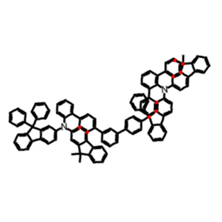 CC1(C)c2ccccc2-c2ccc(N(c3ccc4c(c3)C(c3ccccc3)(c3ccccc3)c3ccccc3-4)c3ccccc3-c3ccc(-c4cccc(-c5ccc(C6(c7ccccc7)c7ccccc7-c7ccc(N(c8ccc9c(c8)C(C)(C)c8ccccc8-9)c8c(-c9ccccc9)cccc8-c8ccccc8)cc76)cc5)c4)cc3)cc21